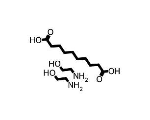 NCCO.NCCO.O=C(O)CCCCCCCCC(=O)O